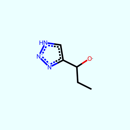 CCC([O])c1c[nH]nn1